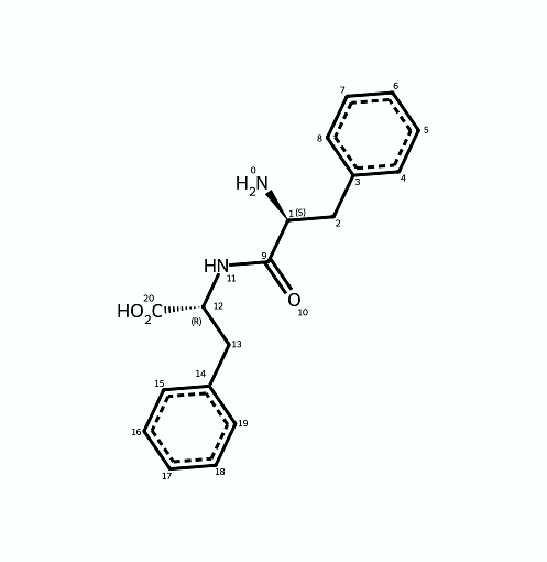 N[C@@H](Cc1ccccc1)C(=O)N[C@H](Cc1ccccc1)C(=O)O